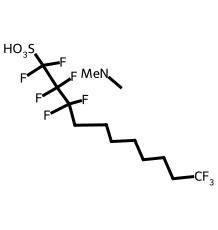 CNC.O=S(=O)(O)C(F)(F)C(F)(F)C(F)(F)CCCCCCCC(F)(F)F